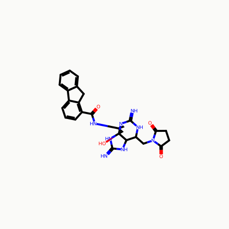 N=C1NC2C(CN3C(=O)CCC3=O)NC(=N)N3CC(NC(=O)c4cccc5c4Cc4ccccc4-5)[C@@H](O)C23N1